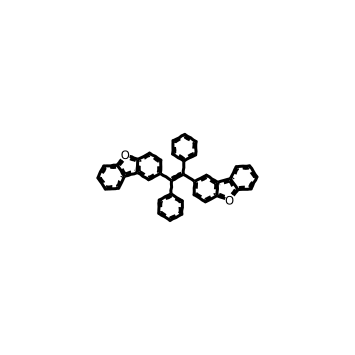 c1ccc(/C(=C(/c2ccccc2)c2ccc3oc4ccccc4c3c2)c2ccc3oc4ccccc4c3c2)cc1